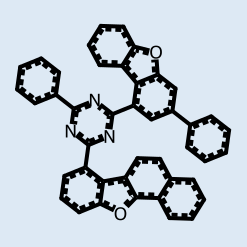 c1ccc(-c2cc(-c3nc(-c4ccccc4)nc(-c4cccc5oc6c7ccccc7ccc6c45)n3)c3c(c2)oc2ccccc23)cc1